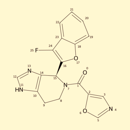 O=C(c1cnco1)N1CCc2[nH]cnc2[C@H]1c1oc2ccccc2c1F